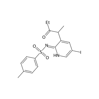 CCC(=O)C(C)c1cc(I)c[nH]c1=NS(=O)(=O)c1ccc(C)cc1